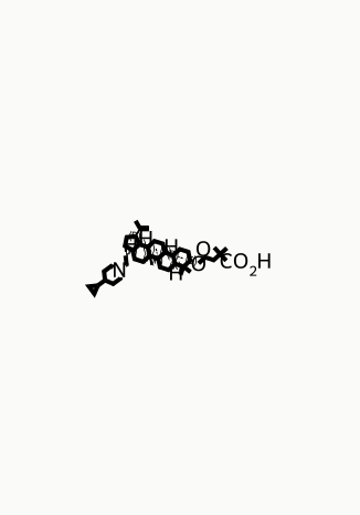 C=C(C)[C@@H]1CC[C@]2(CCN3CCC(C4CC4)CC3)CC[C@]3(C)[C@H](CC[C@@H]4[C@@]5(C)CC[C@H](OC(=O)CC(C)(C)C(=O)O)C(C)(C)[C@@H]5CC[C@]43C)[C@@H]12